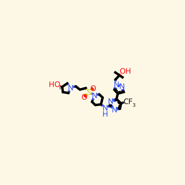 CC(C)(O)Cn1cc(-c2nc(NC3CCN(S(=O)(=O)CCCN4CC[C@@H](O)C4)CC3)ncc2C(F)(F)F)cn1